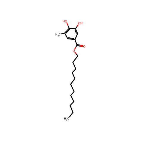 CCCCCCCCCCCCOC(=O)c1cc(C)c(O)c(O)c1